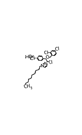 Br.CCCCCCCCCCN1C=CN(C(Cl)C(OCc2ccc(Cl)cc2Cl)c2ccc(Cl)cc2)C1